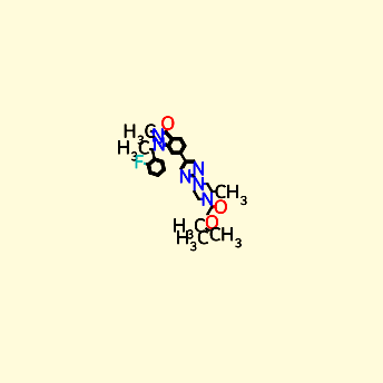 CC(c1ccccc1F)n1c2cc(-c3cnc(N4CCN(C(=O)COC(C)(C)C)[C@H](C)C4)nc3)ccc2c(=O)n1C